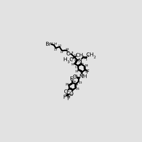 C=CCn1c(C(C)(C)COCCCCCBr)cc2cc(NC(=O)Cc3cc4c(cc3F)OC(F)(F)O4)c(F)cc21